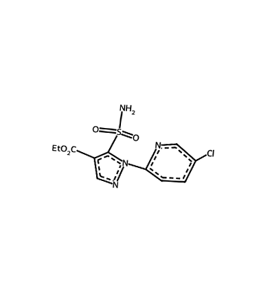 CCOC(=O)c1cnn(-c2ccc(Cl)cn2)c1S(N)(=O)=O